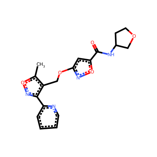 Cc1onc(-c2ccccn2)c1COc1cc(C(=O)NC2CCOC2)on1